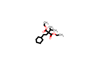 CCOC(=O)C(CCC1CCCCC1)(C(=O)OCC)C(C)C